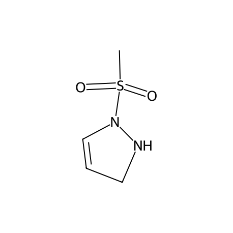 CS(=O)(=O)N1C=CCN1